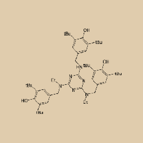 CCN(Cc1cc(C(C)(C)C)c(O)c(C(C)(C)C)c1)c1nc(NCc2cc(C(C)(C)C)c(O)c(C(C)(C)C)c2)nc(N(CC)Cc2cc(C(C)(C)C)c(O)c(C(C)(C)C)c2)n1